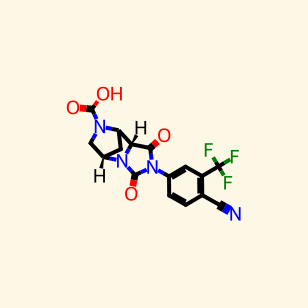 N#Cc1ccc(N2C(=O)[C@H]3C4C[C@@H](CN4C(=O)O)N3C2=O)cc1C(F)(F)F